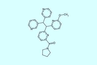 COc1cccc(C(c2cccc(C(=O)N3CCCC3)n2)C(c2cccnc2)c2cccnc2)n1